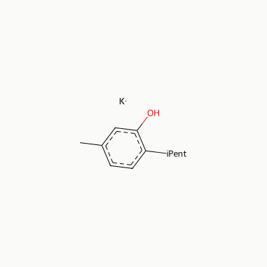 CCCC(C)c1ccc(C)cc1O.[K]